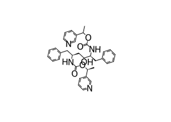 CC(OC(=O)N[C@@H](Cc1ccccc1)[C@@H](O)C[C@H](Cc1ccccc1)NC(=O)O[C@@H](C)c1cccnc1)c1cccnc1